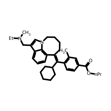 CCCOC(=O)c1ccc(/C(=C2\CCCCn3cc(CN(C)CC)c4cccc2c43)C2CCCCC2)c(C)c1